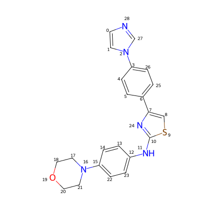 c1cn(-c2ccc(-c3csc(Nc4ccc(N5CCOCC5)cc4)n3)cc2)cn1